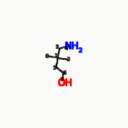 CC(C)(CN)CCO